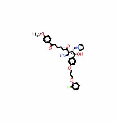 COc1ccc(C(=O)CCCCC(=O)C(C=N)[C@H](CN2CCCC2)[C@H](O)c2ccc(OCCCOc3ccccc3F)cc2)cc1